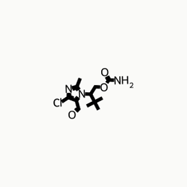 Cc1nc(Cl)c(C=O)n1C(COC(N)=O)C(C)(C)C